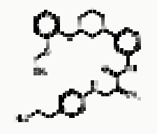 C=C(CNc1ccc(CCC)cc1)C(=O)Nc1cncc(N2CCCC(Oc3ccccc3OCC)C2)n1